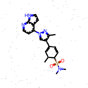 Cc1nn(-c2ccnc3[nH]ccc23)cc1C1=CC(C)C(S(=O)(=O)N(C)C)C=C1